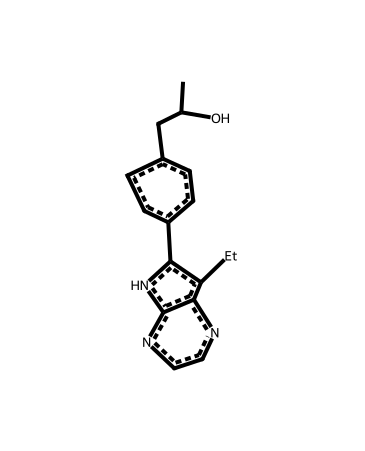 CCc1c(-c2ccc(CC(C)O)cc2)[nH]c2nccnc12